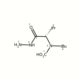 CC(C)[C@@H](C(=O)NN)N(C(=O)O)C(C)(C)C